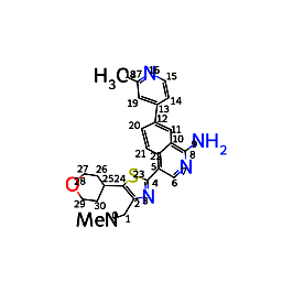 CNCc1nc(-c2cnc(N)c3cc(-c4ccnc(C)c4)ccc23)sc1C1CCOCC1